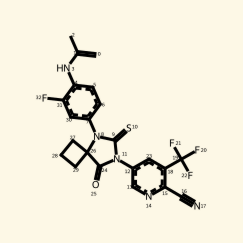 C=C(C)Nc1ccc(N2C(=S)N(c3cnc(C#N)c(C(F)(F)F)c3)C(=O)C23CCC3)cc1F